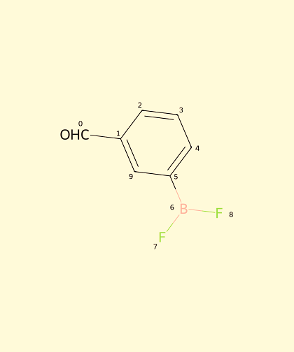 O=Cc1cccc(B(F)F)c1